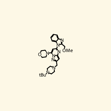 COCc1nc2ccccc2n1-c1cc(N2CCOCC2)n2nc(CN3CCN(C(C)(C)C)CC3)cc2n1